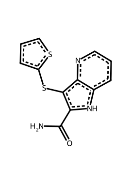 NC(=O)c1[nH]c2cccnc2c1Sc1cccs1